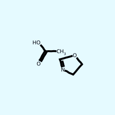 C1=NCCO1.CC(=O)O